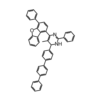 CC1=C(c2ccc(-c3ccccc3)c3oc4ccccc4c23)N=C(c2ccccc2)NC1c1ccc(-c2ccc(-c3ccccc3)cc2)cc1